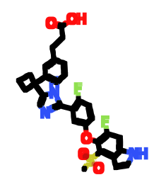 CS(=O)(=O)c1c(Oc2ccc(F)c(-c3ncc(C4(c5cccc(CCC(=O)O)c5)CCC4)[nH]3)c2)c(F)cc2[nH]ccc12